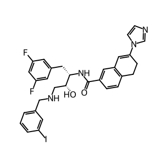 O=C(N[C@@H](Cc1cc(F)cc(F)c1)[C@H](O)CNCc1cccc(I)c1)c1ccc2c(c1)C=C(n1ccnc1)CC2